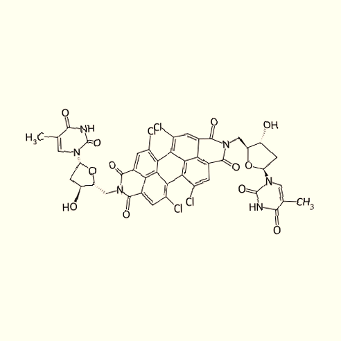 Cc1cn([C@@H]2C[C@@H](O)[C@H](CN3C(=O)c4cc(Cl)c5c6c(Cl)cc7c8c(cc(Cl)c(c9c(Cl)cc(c4c59)C3=O)c86)C(=O)N(C[C@H]3O[C@@H](n4cc(C)c(=O)[nH]c4=O)C[C@@H]3O)C7=O)O2)c(=O)[nH]c1=O